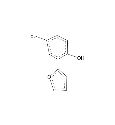 CCc1ccc(O)c(-c2ccco2)c1